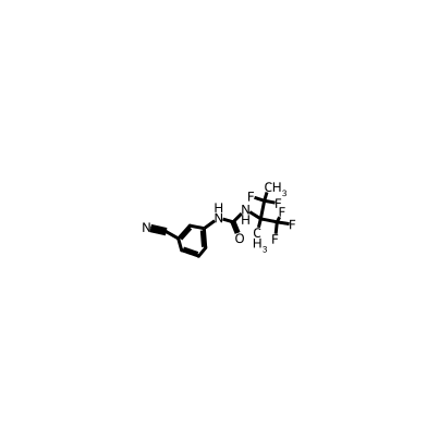 CC(F)(F)C(C)(NC(=O)Nc1cccc(C#N)c1)C(F)(F)F